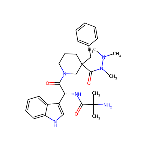 CN(C)N(C)C(=O)C1(Cc2ccccc2)CCCN(C(=O)[C@H](NC(=O)C(C)(C)N)c2c[nH]c3ccccc23)C1